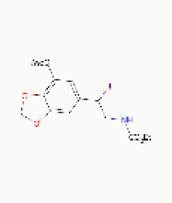 CCOC(=O)NCC(I)c1cc(OC)c2c(c1)OCO2